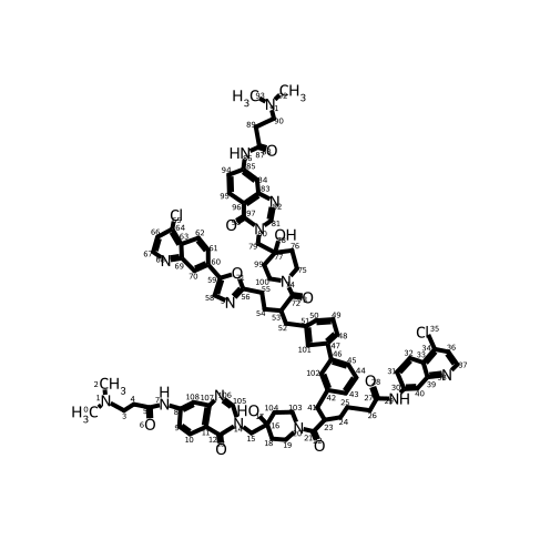 CN(C)CCC(=O)Nc1ccc2c(=O)n(CC3(O)CCN(C(=O)C(CCCC(=O)Nc4ccc5c(Cl)ccnc5c4)Cc4cccc(-c5cccc(CC(CCc6ncc(-c7ccc8c(Cl)ccnc8c7)o6)C(=O)N6CCC(O)(Cn7cnc8cc(NC(=O)CCN(C)C)ccc8c7=O)CC6)c5)c4)CC3)cnc2c1